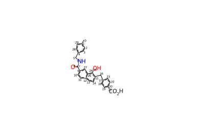 Cc1ccc(CNC(=O)c2ccc3ccc(Cc4ccc(C(=O)O)cc4)c(O)c3c2)cc1